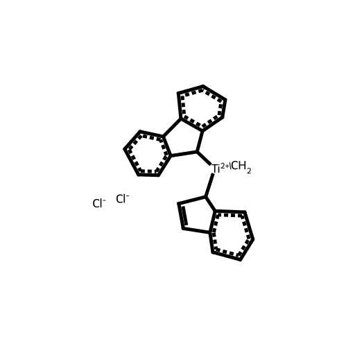 [CH2]=[Ti+2]([CH]1C=Cc2ccccc21)[CH]1c2ccccc2-c2ccccc21.[Cl-].[Cl-]